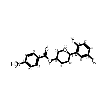 Nc1ccc(C(=O)OC2CCC(c3cc(F)ccc3F)OC2)cc1